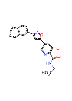 O=C(O)CNC(=O)c1ncc(-c2cc(-c3ccc4ccccc4c3)no2)cc1O